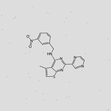 Cc1csc2nc(-c3cnccn3)nc(NCc3cccc([N+](=O)[O-])c3)c12